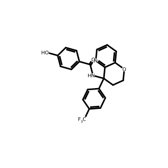 O=C(NC1(c2ccc(C(F)(F)F)cc2)CCOc2cccnc21)c1ccc(O)cc1